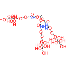 CC(COCCC(=O)NCCOCCOCCO[C@@H](O)C(O)[C@@H](O)[C@H](O)CCO)(COCCC(=O)NCCOCCOCCO[C@@H](O)C(O)[C@@H](O)[C@H](O)CCO)COCCC(=O)NCCOCCOCCO[C@@H](O)C(O)[C@@H](O)[C@H](O)CCO